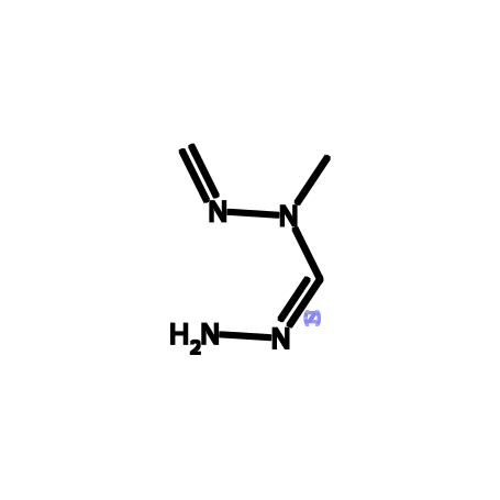 C=NN(C)/C=N\N